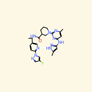 Cc1cc(Nc2cc(C)[nH]n2)nc(N2CCCC(C(=O)NC(C)c3ccc(-n4cc(F)cn4)nc3)C2)n1